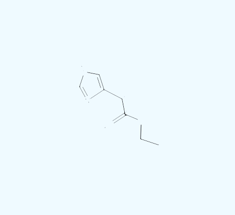 CCOC(=O)Cc1cscn1